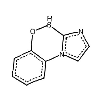 B1Oc2ccccc2-n2ccnc21